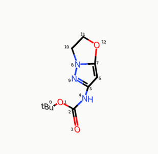 CC(C)(C)OC(=O)Nc1cc2n(n1)CCO2